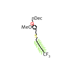 CCCCCCCCCCCCOc1ccc(CCCSCCC(F)(F)C(F)(F)C(F)(F)C(F)(F)C(F)(F)C(F)(F)C(F)(F)C(F)(F)F)cc1OC